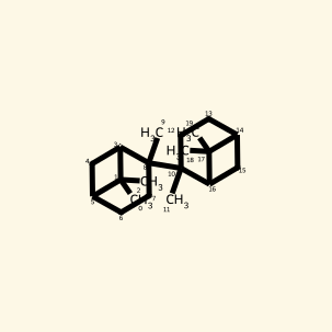 CC1(C)[C]2CC1CCC2(C)C1(C)CCC2CC1C2(C)C